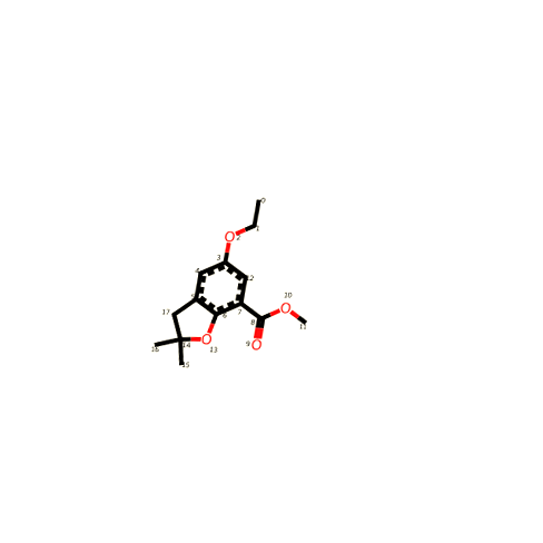 CCOc1cc2c(c(C(=O)OC)c1)OC(C)(C)C2